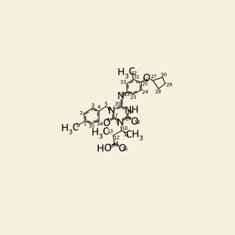 Cc1ccc(Cn2c(=O)n([C@@H](C)[C@@H](C)C(=O)O)c(=O)[nH]/c2=N\c2ccc(OC3CCC3)c(C)c2)cc1